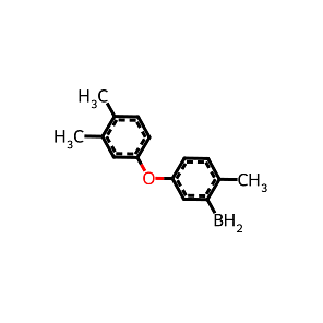 Bc1cc(Oc2ccc(C)c(C)c2)ccc1C